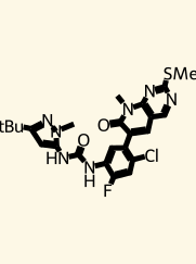 CSc1ncc2cc(-c3cc(NC(=O)Nc4cc(C(C)(C)C)nn4C)c(F)cc3Cl)c(=O)n(C)c2n1